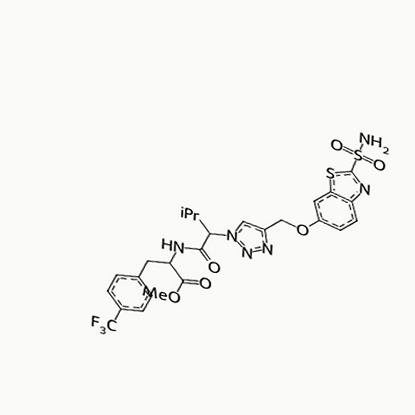 COC(=O)C(Cc1ccc(C(F)(F)F)cc1)NC(=O)C(C(C)C)n1cc(COc2ccc3nc(S(N)(=O)=O)sc3c2)nn1